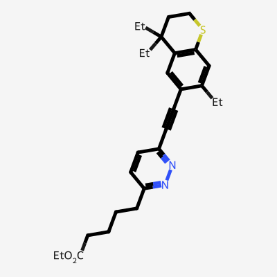 CCOC(=O)CCCCc1ccc(C#Cc2cc3c(cc2CC)SCCC3(CC)CC)nn1